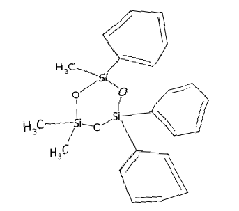 C[Si]1(C)O[Si](C)(c2ccccc2)O[Si](c2ccccc2)(c2ccccc2)O1